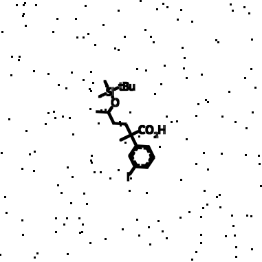 CC(CCC(C)(C(=O)O)c1cccc(I)c1)O[Si](C)(C)C(C)(C)C